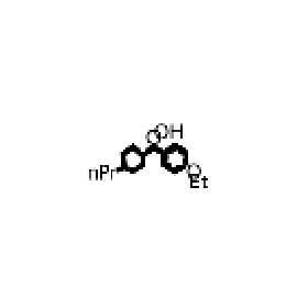 CCCC1CCC(C(OO)c2ccc(OCC)cc2)CC1